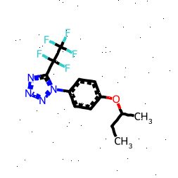 CCC(C)Oc1ccc(-n2nnnc2C(F)(F)C(F)(F)F)cc1